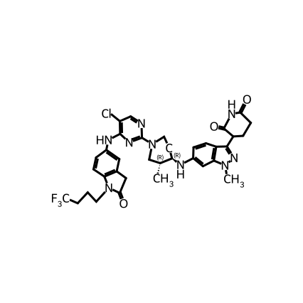 C[C@@H]1CN(c2ncc(Cl)c(Nc3ccc4c(c3)CC(=O)N4CCCC(F)(F)F)n2)CC[C@H]1Nc1ccc2c(C3CCC(=O)NC3=O)nn(C)c2c1